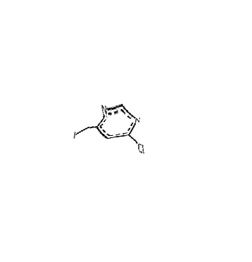 Clc1cc(I)ncn1